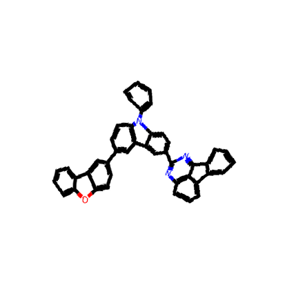 c1ccc(-n2c3ccc(-c4ccc5oc6ccccc6c5c4)cc3c3cc(-c4nc5c6c(cccc6n4)-c4ccccc4-5)ccc32)cc1